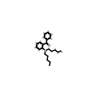 CCCCCN(CCCCC)c1ccccc1C(=O)c1ccccc1